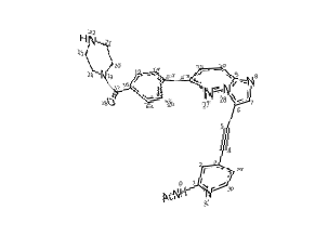 CC(=O)Nc1cc(C#Cc2cnc3ccc(-c4ccc(C(=O)N5CCNCC5)cc4)nn23)ccn1